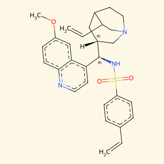 C=Cc1ccc(S(=O)(=O)N[C@@H](c2ccnc3ccc(OC)cc23)[C@@H]2CC3CCN(CC3C=C)C2)cc1